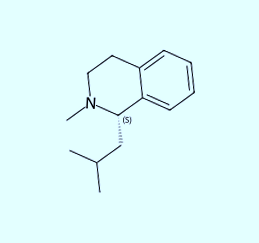 CC(C)C[C@H]1c2ccccc2CCN1C